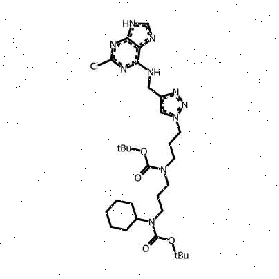 CC(C)(C)OC(=O)N(CCCN(C(=O)OC(C)(C)C)C1CCCCC1)CCCn1cc(CNc2nc(Cl)nc3[nH]cnc23)nn1